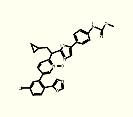 COC(=O)Nc1ccc(-c2cnc(C(CC3CC3)c3ccc(-c4cc(Cl)ccc4-c4cnco4)c[n+]3[O-])[nH]2)cc1